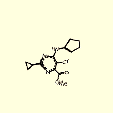 COC(=O)c1nc(C2CC2)nc(NC2CCCC2)c1Cl